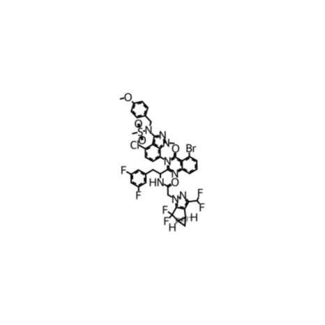 COc1ccc(CN(c2nn(C)c3c(-n4c(C(Cc5cc(F)cc(F)c5)NC(=O)Cn5nc(C(F)F)c6c5C(F)(F)[C@@H]5C[C@H]65)nc5cccc(Br)c5c4=O)ccc(Cl)c23)S(C)(=O)=O)cc1